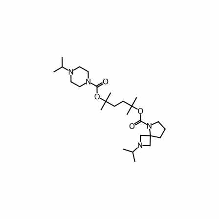 CC(C)N1CCN(C(=O)OC(C)(C)CCC(C)(C)OC(=O)N2CCCC23CN(C(C)C)C3)CC1